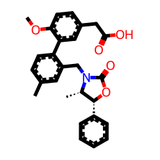 COc1ccc(CC(=O)O)cc1-c1ccc(C)cc1CN1C(=O)O[C@H](c2ccccc2)[C@@H]1C